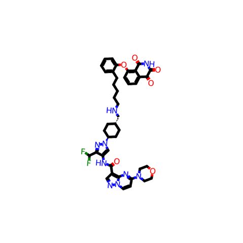 O=C1NC(=O)c2c(Oc3ccccc3CCCCCNC[C@H]3CC[C@H](n4cc(NC(=O)c5cnn6ccc(N7CCOCC7)nc56)c(C(F)F)n4)CC3)cccc2C1=O